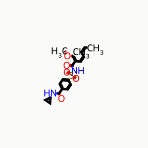 C\C=C/C=C\C(C(=O)NS(=O)(=O)c1ccc(C(=O)NC2CC2)cc1)=C(/C)OC